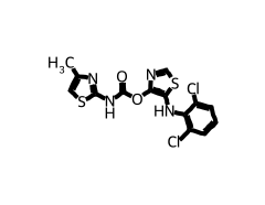 Cc1csc(NC(=O)Oc2ncsc2Nc2c(Cl)cccc2Cl)n1